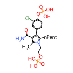 CCCCCc1c(-c2ccc(OP(=O)(O)O)c(Cl)c2)c(C(N)=O)c(C)n1CCOP(=O)(O)O